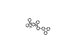 CC1(C)C2=C(CCC=C2)N(c2ccccc2)c2cc3c4ccccc4n(-c4cccc(-c5ccc6c7ccccc7c7ccccc7c6c5)c4)c3cc21